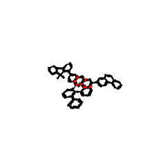 CC1(C)c2ccccc2-c2cccc(-c3ccc(N(c4ccc(-c5ccc6c(ccc7ccccc76)c5)cc4)c4cccc(-c5ccccc5)c4-c4ccccc4-c4ccccc4)cc3)c21